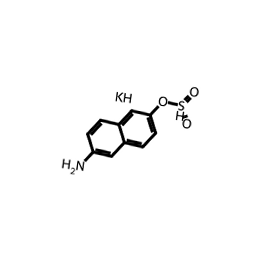 Nc1ccc2cc(O[SH](=O)=O)ccc2c1.[KH]